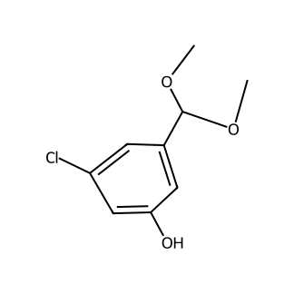 COC(OC)c1cc(O)cc(Cl)c1